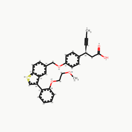 CC#C[C@@H](CC(=O)O)c1ccc(OCc2ccc3scc(-c4ccccc4OCCOC)c3c2)cc1